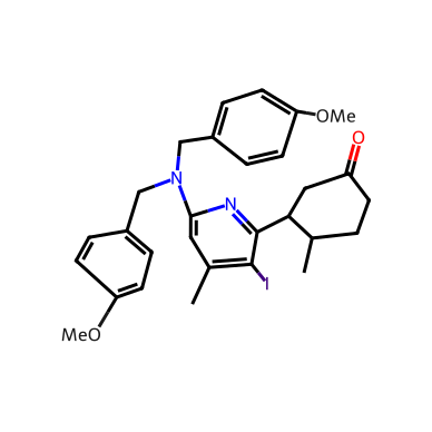 COc1ccc(CN(Cc2ccc(OC)cc2)c2cc(C)c(I)c(C3CC(=O)CCC3C)n2)cc1